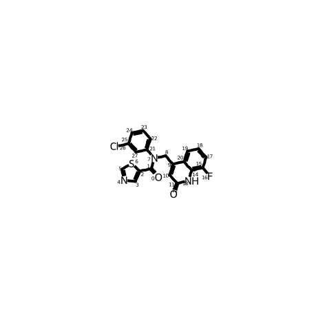 O=C(c1cncs1)N(Cc1cc(=O)[nH]c2c(F)cccc12)c1cccc(Cl)c1